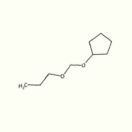 [CH2]CCOCOC1CCCC1